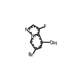 Oc1cc(Br)cn2ncc(F)c12